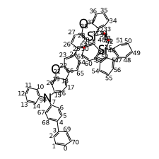 c1ccc(-c2ccc(N(c3ccccc3)c3ccc4c(c3)oc3cc(-c5ccc6c(c5)[Si]5(c7ccccc7O6)c6ccccc6[Si](c6ccccc6)(c6ccccc6)c6ccccc65)ccc34)cc2)cc1